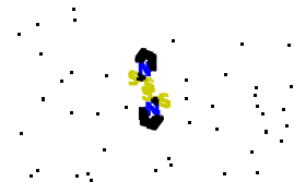 S=C(SSC(=S)n1cccc1)n1cccc1